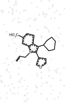 C=CCn1c(-c2ccoc2)c(C2CCCCC2)c2ccc(C(=O)O)cc21